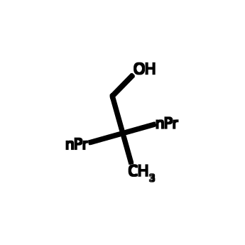 CCCC(C)(CO)CCC